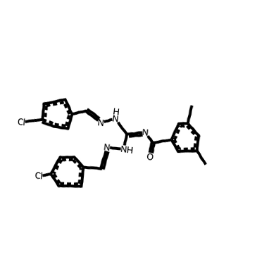 Cc1cc(C)cc(C(=O)N=C(NN=Cc2ccc(Cl)cc2)NN=Cc2ccc(Cl)cc2)c1